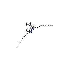 CCCCCCCCCCCC#CCCCc1ccccc1/N=C\C(CCCCC)=N\c1ccccc1CCCC#CCCCCCCCCCCC.[Pd]